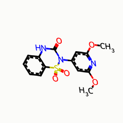 COc1cc(N2C(=O)Nc3ccccc3S2(=O)=O)cc(OC)n1